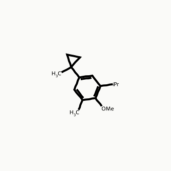 COc1c(C)cc(C2(C)CC2)cc1C(C)C